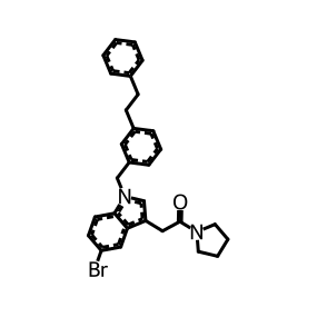 O=C(Cc1cn(Cc2cccc(CCc3ccccc3)c2)c2ccc(Br)cc12)N1CCCC1